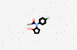 CCCC(=O)N(c1ccc(Cl)cc1)C1CCCC1O